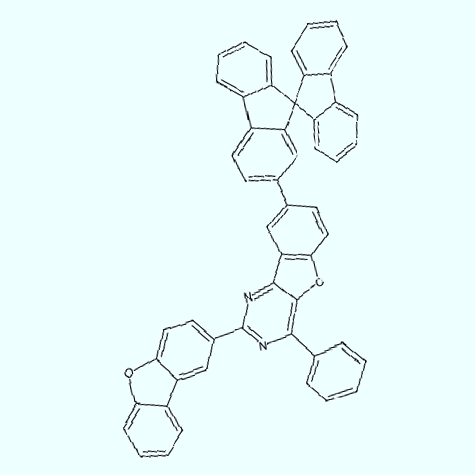 c1ccc(-c2nc(-c3ccc4oc5ccccc5c4c3)nc3c2oc2ccc(-c4ccc5c(c4)C4(c6ccccc6-c6ccccc64)c4ccccc4-5)cc23)cc1